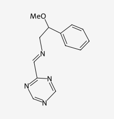 COC(CN=Cc1ncncn1)c1ccccc1